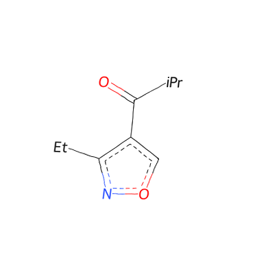 CCc1nocc1C(=O)C(C)C